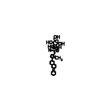 Cn1c(/C=C(\C#N)S(=O)(=O)N[C@H]2C(O)O[C@H](CO)[C@@H](O)[C@@H]2O)ccc1-c1ccc2cc(N3CCCCC3)ccc2c1